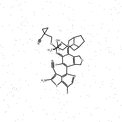 C[C@@H](O)CN1CC2CCC(C1)N2c1nc(OCC2(C#N)CC2)nc2c(F)c(-c3ncc(F)c4sc(N)c(C#N)c34)c3c(c12)COC3